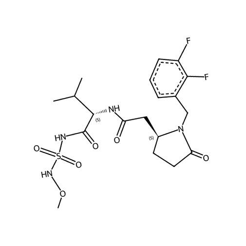 CONS(=O)(=O)NC(=O)[C@@H](NC(=O)C[C@@H]1CCC(=O)N1Cc1cccc(F)c1F)C(C)C